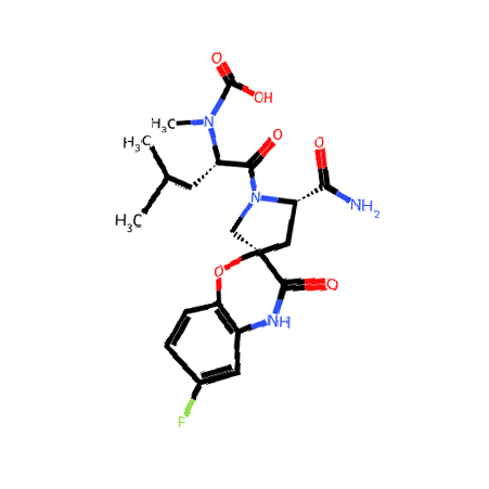 CC(C)C[C@@H](C(=O)N1C[C@@]2(C[C@H]1C(N)=O)Oc1ccc(F)cc1NC2=O)N(C)C(=O)O